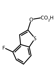 O=C(O)Oc1cc2c(F)cccc2s1